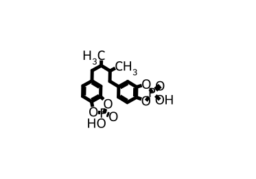 CC(Cc1ccc2c(c1)OP(=O)(O)O2)C(C)Cc1ccc2c(c1)OP(=O)(O)O2